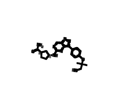 CC(C)(CO)Oc1ccc(-n2nnc3cnc(N[C@@H]4CC[C@@H](C(N)=O)C4)nc32)cc1